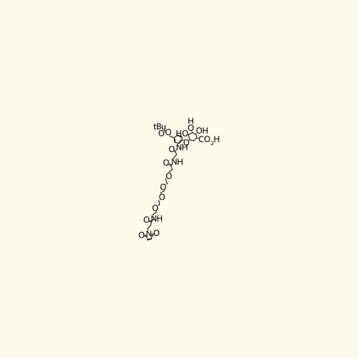 CC(C)(C)C(=O)OCc1ccc(O[C@@H]2C[C@H](C(=O)O)[C@@H](O)[C@H](O)[C@H]2O)c(NC(=O)CCNC(=O)CCOCCOCCOCCOCCNC(=O)CCN2C(=O)C=CC2=O)c1